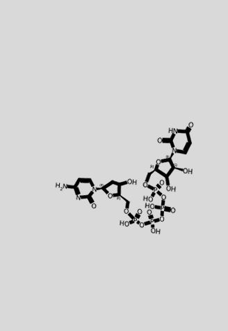 Nc1ccn([C@H]2CC(O)[C@@H](COP(=O)(O)OP(=O)(O)OP(=O)(O)OP(=O)(O)OC[C@H]3O[C@@H](n4ccc(=O)[nH]c4=O)[C@@H](O)C3O)O2)c(=O)n1